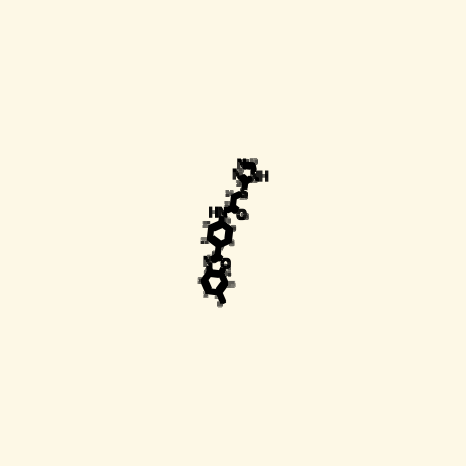 Cc1ccc2nc(-c3ccc(NC(=O)CSc4nnc[nH]4)cc3)oc2c1